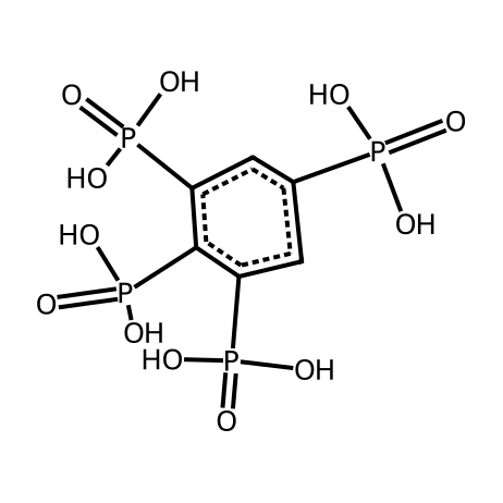 O=P(O)(O)c1cc(P(=O)(O)O)c(P(=O)(O)O)c(P(=O)(O)O)c1